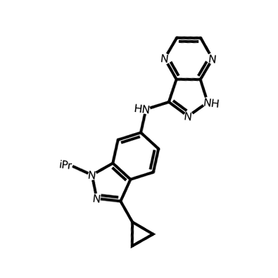 CC(C)n1nc(C2CC2)c2ccc(Nc3n[nH]c4nccnc34)cc21